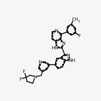 Cc1cc(F)cc(-c2nccc3[nH]c(-c4n[nH]c5ccc(-c6cncc(CN7CCC(F)(F)C7)c6)cc45)nc23)c1